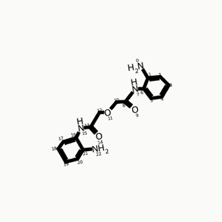 Nc1ccccc1NC(=O)COCC(=O)Nc1ccccc1N